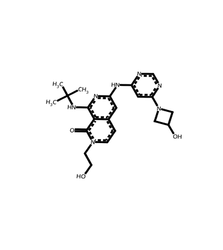 CC(C)(C)Nc1nc(Nc2cc(N3CC(O)C3)ncn2)cc2ccn(CCO)c(=O)c12